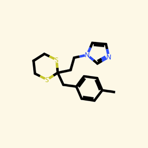 Cc1ccc(CC2(CCn3ccnc3)SCCCS2)cc1